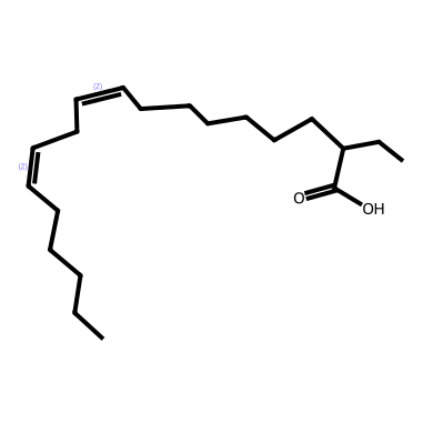 CCCCC/C=C\C/C=C\CCCCCCC(CC)C(=O)O